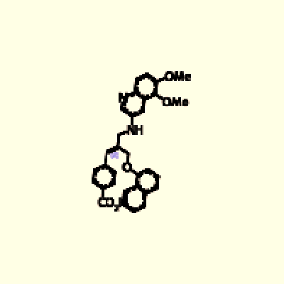 COc1ccc2ncc(NC/C(=C/c3ccc(C(=O)O)cc3)COc3cccc4ccccc34)cc2c1OC